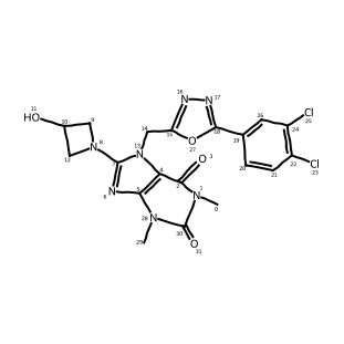 Cn1c(=O)c2c(nc(N3CC(O)C3)n2Cc2nnc(-c3ccc(Cl)c(Cl)c3)o2)n(C)c1=O